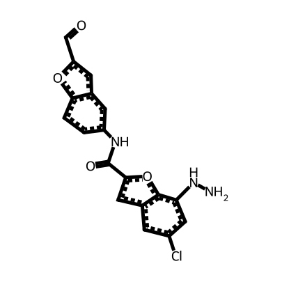 NNc1cc(Cl)cc2cc(C(=O)Nc3ccc4oc(C=O)cc4c3)oc12